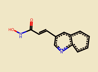 O=C(/C=C/c1cnc2ccccc2c1)NO